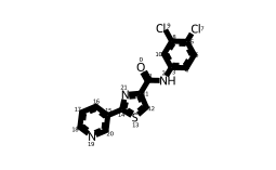 O=C(Nc1ccc(Cl)c(Cl)c1)c1csc(-c2cccnc2)n1